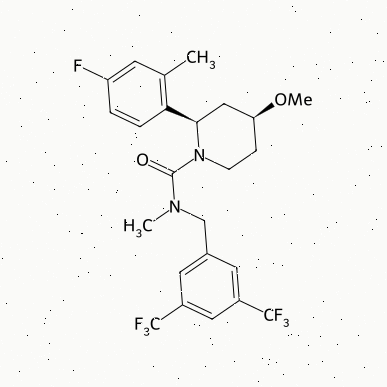 CO[C@H]1CCN(C(=O)N(C)Cc2cc(C(F)(F)F)cc(C(F)(F)F)c2)[C@@H](c2ccc(F)cc2C)C1